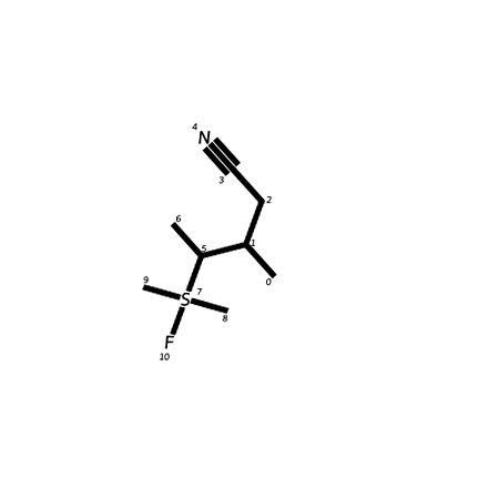 CC(CC#N)C(C)S(C)(C)F